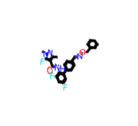 Cc1nn(C)c(F)c1C(=O)Nc1c(F)cc(F)cc1-c1ccc(/C=N/OCc2ccccc2)cc1